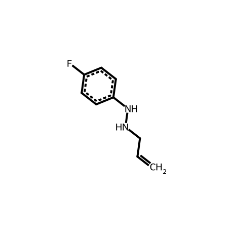 C=CCNNc1ccc(F)cc1